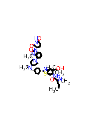 C=N/C(=C\C=C/C)C(=O)Nc1cc2sc([C@H]3CC[C@H](CN(C)C4CCN(c5cccc6c5n(C)c(=O)n6C5CCC(=O)NC5=O)CC4)CC3)nc2cc1C(C)(C)O